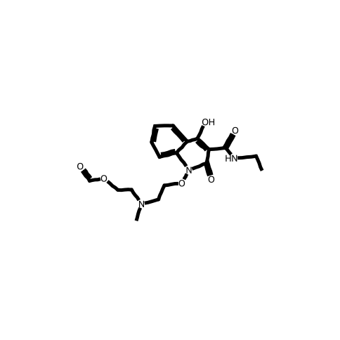 CCNC(=O)c1c(O)c2ccccc2n(OCCN(C)CCOC=O)c1=O